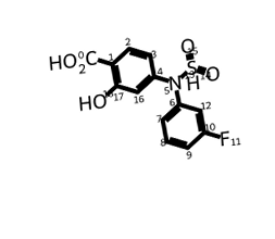 O=C(O)c1ccc(N(c2cccc(F)c2)[SH](=O)=O)cc1O